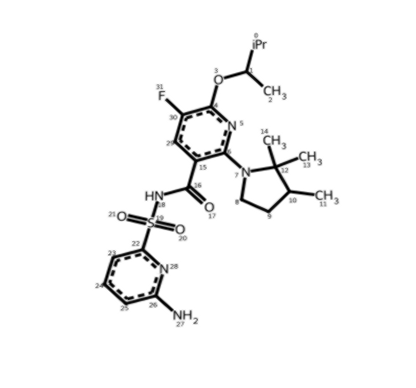 CC(C)C(C)Oc1nc(N2CCC(C)C2(C)C)c(C(=O)NS(=O)(=O)c2cccc(N)n2)cc1F